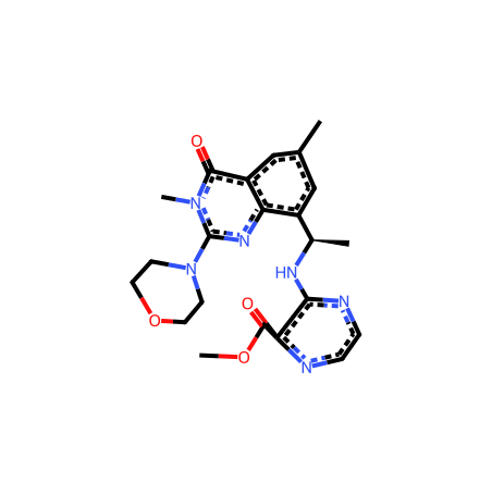 COC(=O)c1nccnc1N[C@H](C)c1cc(C)cc2c(=O)n(C)c(N3CCOCC3)nc12